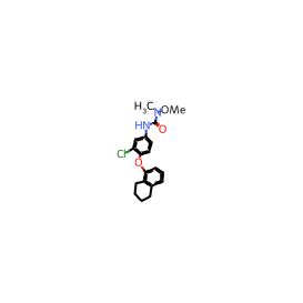 CON(C)C(=O)Nc1ccc(Oc2cccc3c2CCCC3)c(Cl)c1